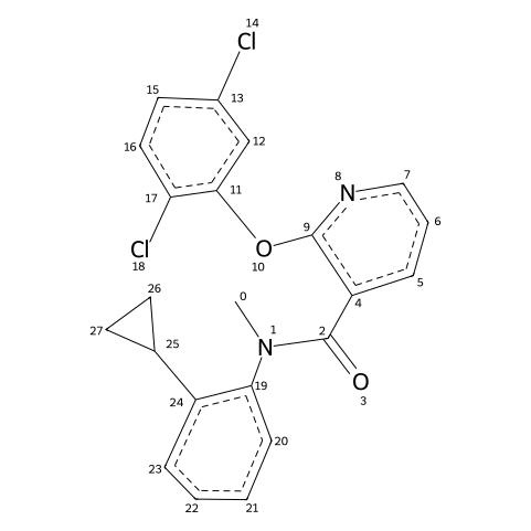 CN(C(=O)c1cccnc1Oc1cc(Cl)ccc1Cl)c1ccccc1C1CC1